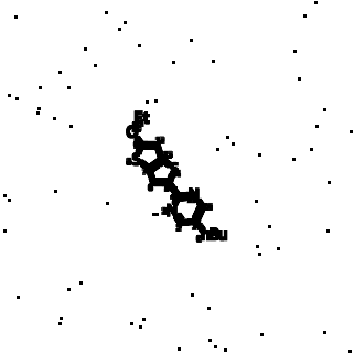 CCCCc1cnc(-c2cc3sc(OCC)cc3s2)nc1